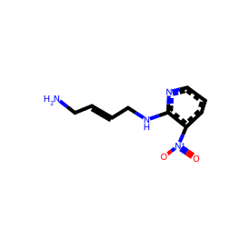 NCC=CCNc1ncccc1[N+](=O)[O-]